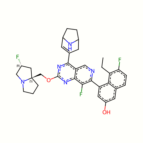 CCc1c(F)ccc2cc(O)cc(-c3ncc4c(C5=CC6CCC(C5)N6)nc(OC[C@@]56CCCN5C[C@H](F)C6)nc4c3F)c12